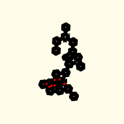 c1ccc(-c2ccc(-c3cc(-c4ccc(-c5ccccc5)cc4)nc(-c4ccc(-c5ccc6c(c5)-n5c7ccccc7c7cccc(c75)C65c6ccccc6-c6cc(-c7cccc(-c8nc(-c9ccccc9)cc(-c9cccc(-c%10ccccc%10)c9)n8)c7)ccc65)cc4-c4cccc5c4c4cccc6c4n5-c4ccccc4C64c5ccccc5-c5ccccc54)n3)cc2)cc1